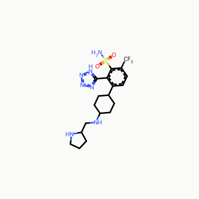 NS(=O)(=O)c1c(C(F)(F)F)ccc(C2CCC(NCC3CCCN3)CC2)c1-c1nnn[nH]1